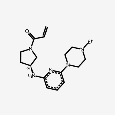 C=CC(=O)N1CC[C@H](Nc2cccc(N3CCN(CC)CC3)n2)C1